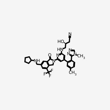 Cc1ccc(-c2nncn2C)c(-c2cc(NC[C@@H](O)CC#N)nc(N3Cc4c(cc(CNC5CCCC5)cc4C(F)(F)F)C3=O)c2)c1